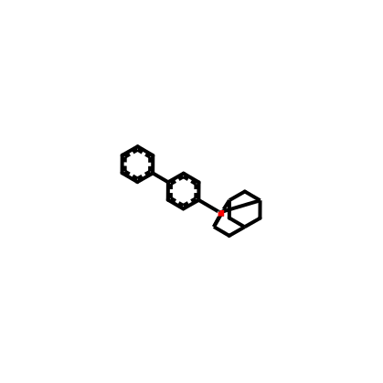 c1ccc(-c2ccc(N3C4CC5CC(C4)CC3C5)cc2)cc1